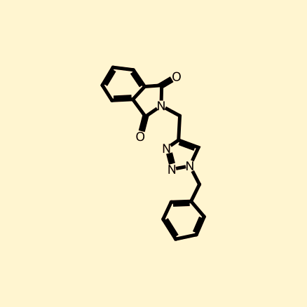 O=C1c2ccccc2C(=O)N1Cc1cn(Cc2ccccc2)nn1